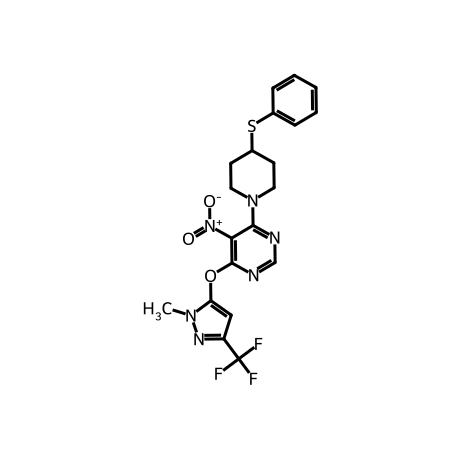 Cn1nc(C(F)(F)F)cc1Oc1ncnc(N2CCC(Sc3ccccc3)CC2)c1[N+](=O)[O-]